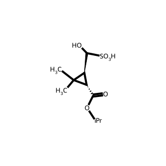 CC(C)OC(=O)[C@H]1[C@H](C(O)S(=O)(=O)O)C1(C)C